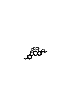 CCOc1ccc2c(c1F)C(F)(F)C(F)(F)C(c1ccc(CC)cc1)=C2